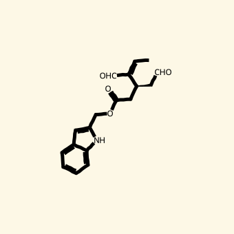 C/C=C(/C=O)[C@@H](CC=O)CC(=O)OCc1cc2ccccc2[nH]1